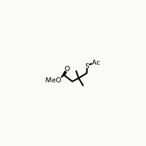 COC(=O)CC(C)(C)CSC(C)=O